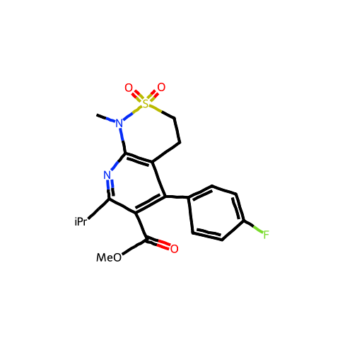 COC(=O)c1c(C(C)C)nc2c(c1-c1ccc(F)cc1)CCS(=O)(=O)N2C